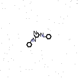 C(=N\c1cncc(/N=C/c2ccccc2)c1)/c1ccccc1